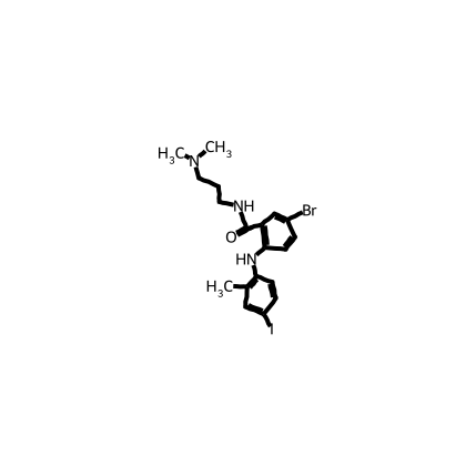 Cc1cc(I)ccc1Nc1ccc(Br)cc1C(=O)NCCCN(C)C